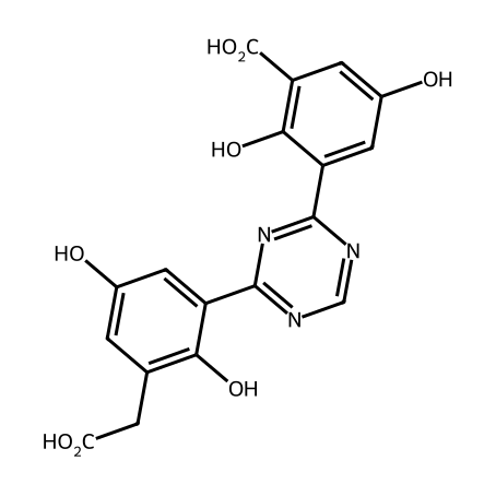 O=C(O)Cc1cc(O)cc(-c2ncnc(-c3cc(O)cc(C(=O)O)c3O)n2)c1O